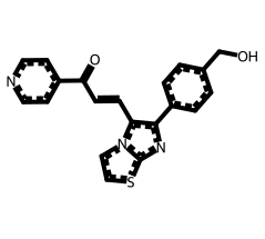 O=C(/C=C/c1c(-c2ccc(CO)cc2)nc2sccn12)c1ccncc1